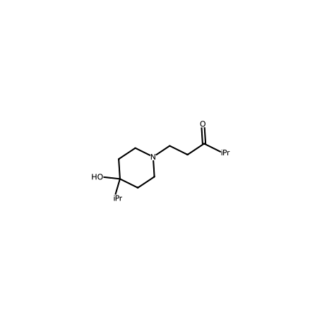 CC(C)C(=O)CCN1CCC(O)(C(C)C)CC1